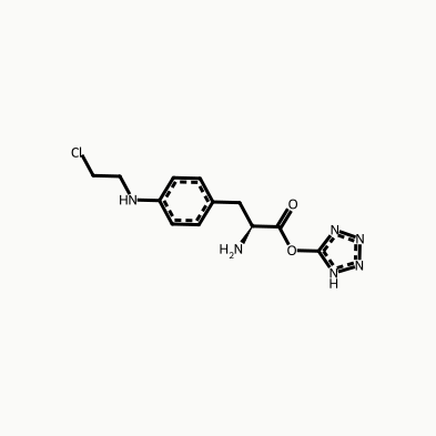 N[C@@H](Cc1ccc(NCCCl)cc1)C(=O)Oc1nnn[nH]1